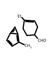 CCC1=CCC(C=O)CC1.Cc1ccc2cc1-2